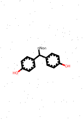 CCCCCCCCCC(c1ccc(O)cc1)c1ccc(O)cc1